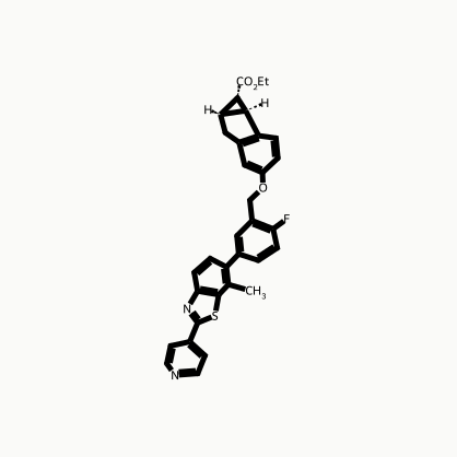 CCOC(=O)[C@H]1[C@@H]2Cc3cc(OCc4cc(-c5ccc6nc(-c7ccncc7)sc6c5C)ccc4F)ccc3[C@@H]21